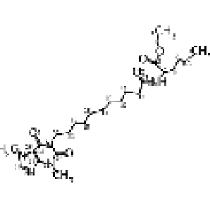 CCOC(=O)C(CCSC)NC(=O)CCCCCCCCCCn1c(=O)c2c(ncn2C)n(C)c1=O